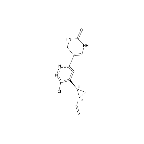 C=C[C@H]1C[C@@H]1c1cc(C2=CNC(=O)NC2)nnc1Cl